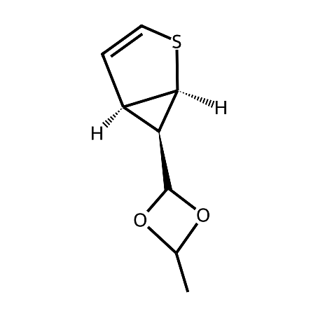 CC1OC([C@H]2[C@H]3C=CS[C@H]32)O1